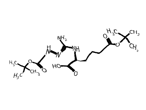 CC(C)(C)OC(=O)CCC[C@H](NC(N)=NNC(=O)OC(C)(C)C)C(=O)O